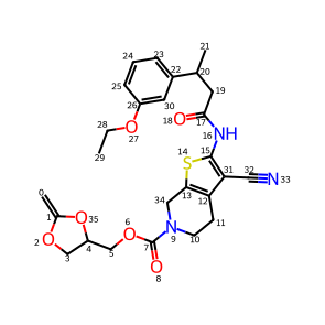 C=C1OCC(COC(=O)N2CCc3c(sc(NC(=O)CC(C)c4cccc(OCC)c4)c3C#N)C2)O1